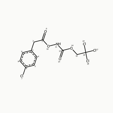 O=C(Cc1ccc(Cl)cc1)ONC(=O)OCC(Cl)(Cl)Cl